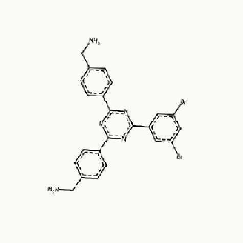 NCc1ccc(-c2nc(-c3ccc(CN)cc3)nc(-c3cc(Br)cc(Br)c3)n2)cc1